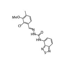 COc1c(C)ccc(/C=N/NC(=O)Nc2cccc3nsnc23)c1Cl